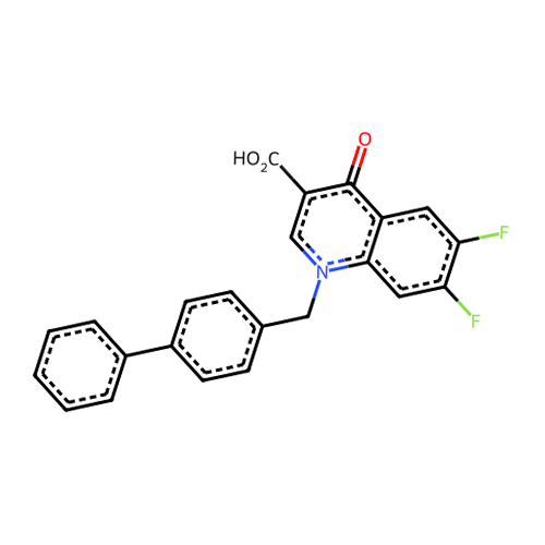 O=C(O)c1cn(Cc2ccc(-c3ccccc3)cc2)c2cc(F)c(F)cc2c1=O